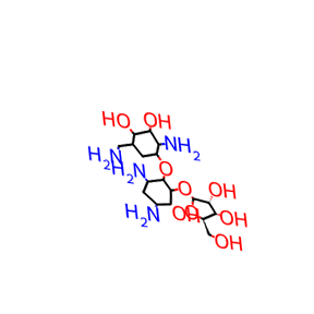 NCC1CC(OC2C(N)CC(N)C(O)C2O[C@@H]2O[C@H](CO)[C@@H](O)[C@H]2O)C(N)C(O)C1O